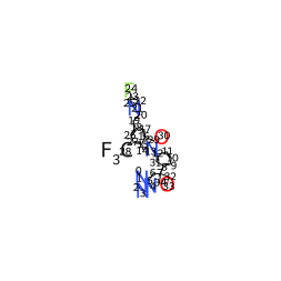 Cn1cnnc1CC1(c2cccc(N3Cc4c(cc(CCN5CC(F)C5)cc4C(F)(F)F)C3=O)c2)COC1